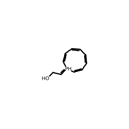 OCC=[PH]1C=CC=CC=CC=C1